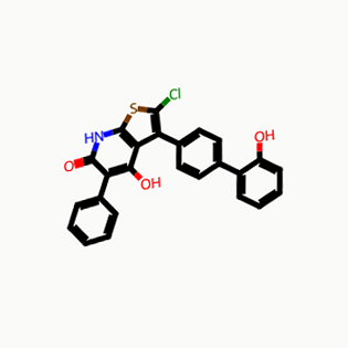 O=c1[nH]c2sc(Cl)c(-c3ccc(-c4ccccc4O)cc3)c2c(O)c1-c1ccccc1